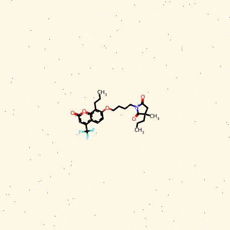 CCCc1c(OCCCCN2C(=O)CC(C)(CCC)C2=O)ccc2c(C(F)(F)F)cc(=O)oc12